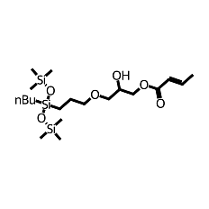 CC=CC(=O)OCC(O)COCCC[Si](CCCC)(O[Si](C)(C)C)O[Si](C)(C)C